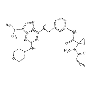 C=CC(=O)N(C)C1(C(=O)Nc2cccc(CNc3nc(NC4CCOCC4)nc4c(C(C)C)cnn34)c2)CC1